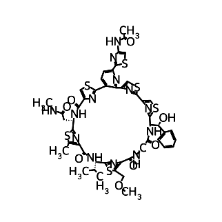 CNC(=O)C[C@@H]1NC(=O)c2csc(n2)-c2ccc(-c3nc(NC(C)=O)cs3)nc2-c2csc(n2)-c2csc(n2)[C@H]([C@@H](O)c2ccccc2)NC(=O)CNC(=O)c2nc(sc2COC)[C@H](C(C)C)NC(=O)c2nc1sc2C